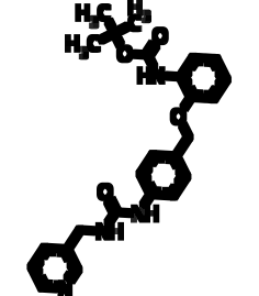 CC(C)(C)OC(=O)Nc1ccccc1OCc1ccc(NC(=O)NCc2cccnc2)cc1